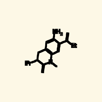 C=C(CC)c1cc2c(cc1N)CC(C(C)C)C(=C)N2C